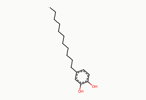 [CH2]CCCCCCCCCCc1ccc(O)c(O)c1